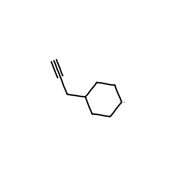 C#CCC1CC[CH]CC1